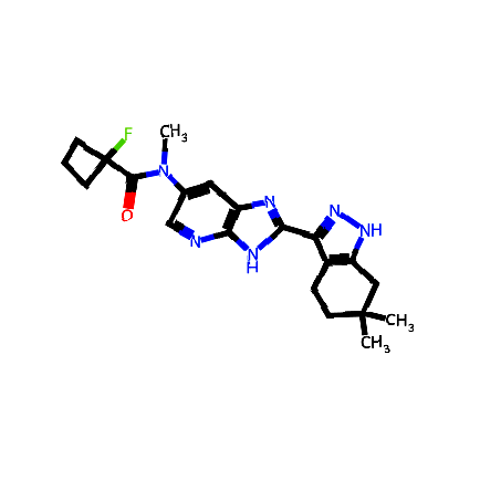 CN(C(=O)C1(F)CCC1)c1cnc2[nH]c(-c3n[nH]c4c3CCC(C)(C)C4)nc2c1